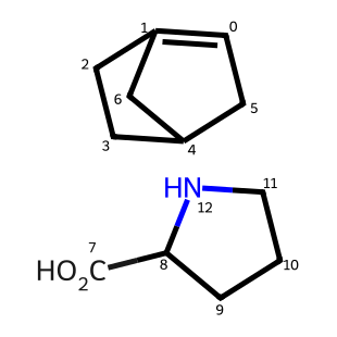 C1=C2CCC(C1)C2.O=C(O)C1CCCN1